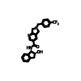 O=C(N[C@H]1c2ccccc2C[C@H]1O)c1cnc2c(c1)CN(Cc1ccc(C(F)(F)F)cc1)C2